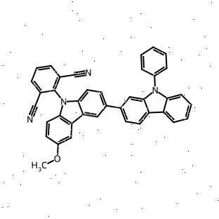 COc1ccc2c(c1)c1cc(-c3ccc4c5ccccc5n(-c5ccccc5)c4c3)ccc1n2-c1c(C#N)cccc1C#N